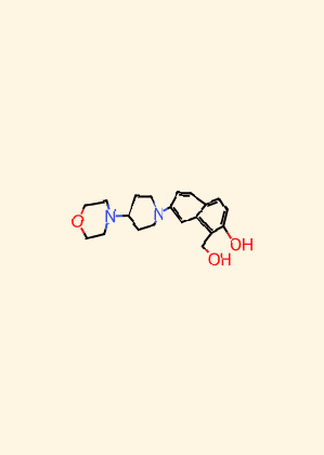 OCc1c(O)ccc2ccc(N3CCC(N4CCOCC4)CC3)cc12